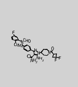 COc1ccc(F)cc1N(C=O)Cc1ccc(-c2nn(C3CCN(C(=O)C4CC(F)(F)C4)CC3)c(N)c2C(N)=O)cc1